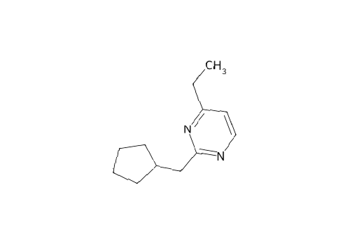 CCc1ccnc(CC2CCCC2)n1